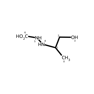 CC(CO)NNC(=O)O